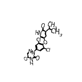 CC(C)c1cc(Oc2c(Cl)cc(-n3ncc(=O)[nH]c3=O)cc2Cl)c[nH]c1=O